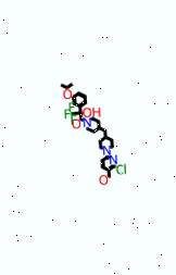 CC(C)Oc1cccc(C(O)(C(=O)N2CCC(CC3CCN(c4ccc(C=O)c(Cl)n4)CC3)CC2)C(F)(F)F)c1